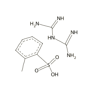 Cc1ccccc1S(=O)(=O)O.N=C(N)NC(=N)N